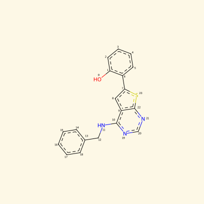 Oc1ccccc1-c1cc2c(NCc3ccccc3)ncnc2s1